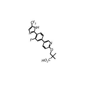 CC(C)(COc1ccc(-c2ccc(-c3ncc(C(F)(F)F)[nH]3)c(F)c2)cn1)C(=O)O